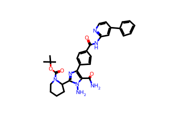 CC(C)(C)OC(=O)N1CCCCC1c1nc(-c2ccc(C(=O)Nc3cc(-c4ccccc4)ccn3)cc2)c(C(N)=O)n1N